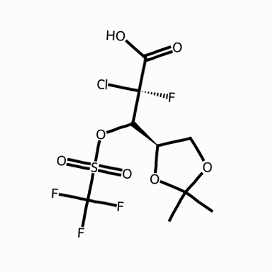 CC1(C)OC[C@H](C(OS(=O)(=O)C(F)(F)F)[C@@](F)(Cl)C(=O)O)O1